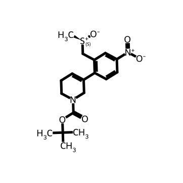 C[S@@+]([O-])Cc1cc([N+](=O)[O-])ccc1C1=CCCN(C(=O)OC(C)(C)C)C1